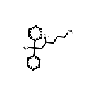 CCCCC(C)[CH]C(C)(c1ccccc1)c1ccccc1